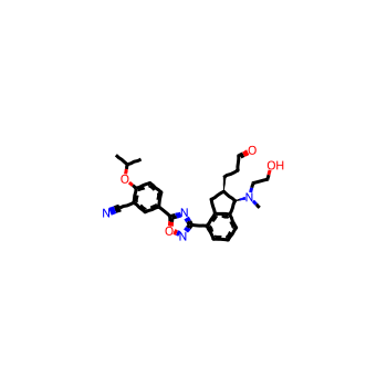 CC(C)Oc1ccc(-c2nc(-c3cccc4c3C[C@@H](CCC=O)[C@H]4N(C)CCO)no2)cc1C#N